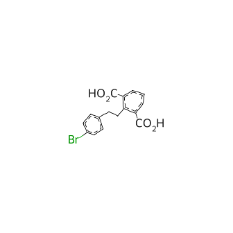 O=C(O)c1cccc(C(=O)O)c1CCc1ccc(Br)cc1